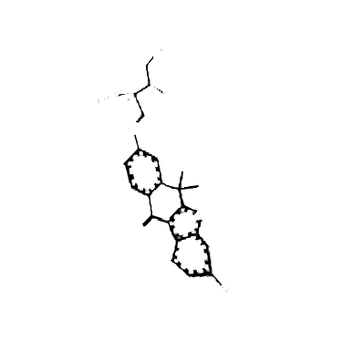 CC1(C)c2cc(OC[C@@H](O)[C@H](O)CO)ccc2C(=O)c2c1oc1cc(N)ccc21